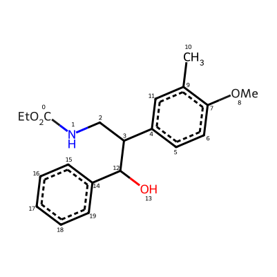 CCOC(=O)NCC(c1ccc(OC)c(C)c1)C(O)c1ccccc1